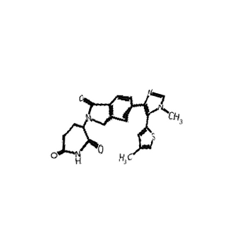 Cc1csc(-c2c(-c3ccc4c(c3)CN(C3CCC(=O)NC3=O)C4=O)ncn2C)c1